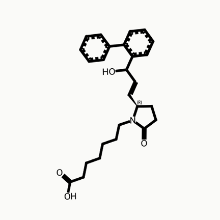 O=C(O)CCCCCCN1C(=O)CC[C@@H]1C=CC(O)c1ccccc1-c1ccccc1